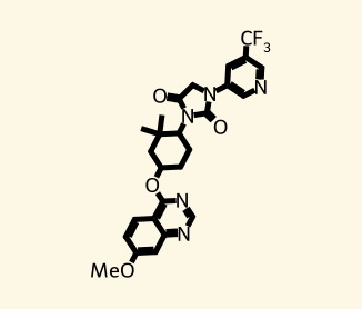 COc1ccc2c(OC3CCC(N4C(=O)CN(c5cncc(C(F)(F)F)c5)C4=O)C(C)(C)C3)ncnc2c1